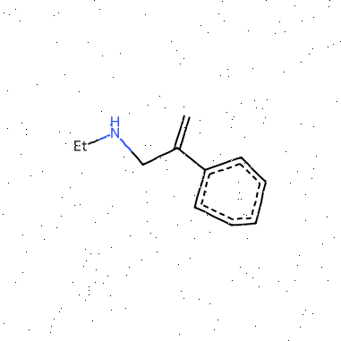 C=C(CNCC)c1ccccc1